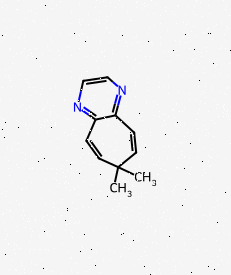 CC1(C)C=Cc2nccnc2C=C1